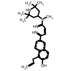 C=CCc1c(O)ccc2cc(C(=N)/C=C\C(=N)N(C)C3CC(C)(C)NC(C)(C)C3)ccc12